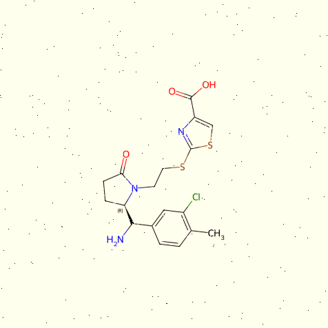 Cc1ccc(C(N)[C@H]2CCC(=O)N2CCSc2nc(C(=O)O)cs2)cc1Cl